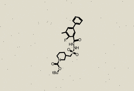 Cc1cc(-c2ccccc2)cc(C(=O)NNS(=O)(=O)CC2CCCN(C(=O)OC(C)(C)C)C2)c1F